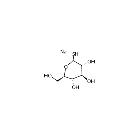 OC[C@H]1O[C@@H](S)[C@H](O)[C@@H](O)[C@@H]1O.[Na]